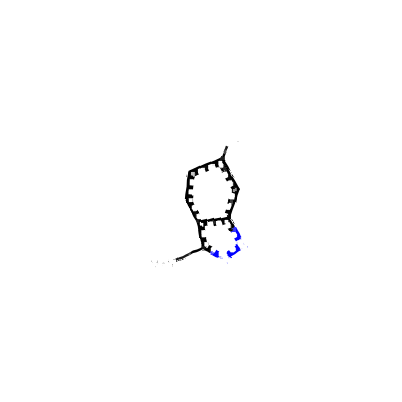 CNc1n[nH]c2cc(C(C)(C)C)ccc12